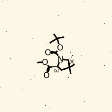 COC(=O)[C@@H]1CC(C)(C)[C@@H](C)N1C(=O)OC(C)(C)C